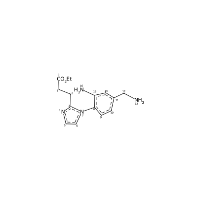 CCOC(=O)CCc1nccn1-c1ccc(CN)cc1N